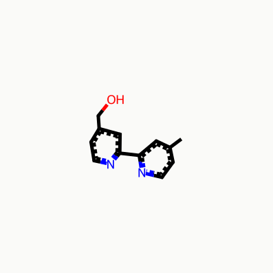 Cc1ccnc(-c2cc(CO)ccn2)c1